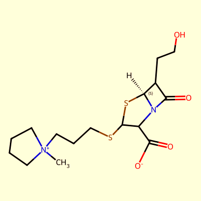 C[N+]1(CCCSC2S[C@H]3C(CCO)C(=O)N3C2C(=O)[O-])CCCC1